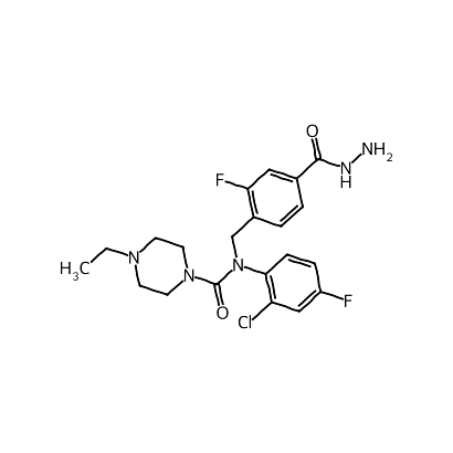 CCN1CCN(C(=O)N(Cc2ccc(C(=O)NN)cc2F)c2ccc(F)cc2Cl)CC1